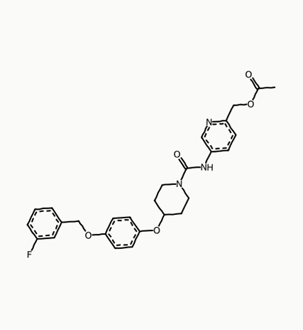 CC(=O)OCc1ccc(NC(=O)N2CCC(Oc3ccc(OCc4cccc(F)c4)cc3)CC2)cn1